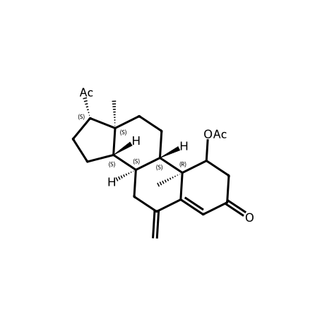 C=C1C[C@H]2[C@@H]3CC[C@H](C(C)=O)[C@@]3(C)CC[C@@H]2[C@]2(C)C1=CC(=O)CC2OC(C)=O